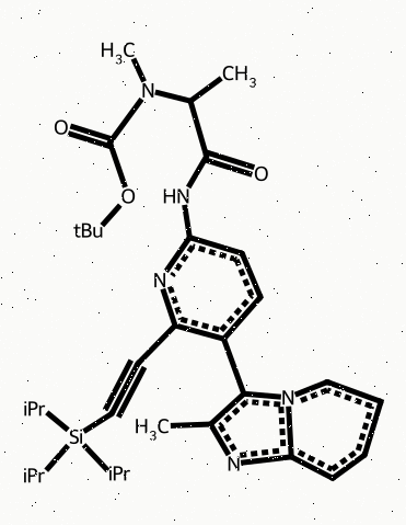 Cc1nc2ccccn2c1-c1ccc(NC(=O)C(C)N(C)C(=O)OC(C)(C)C)nc1C#C[Si](C(C)C)(C(C)C)C(C)C